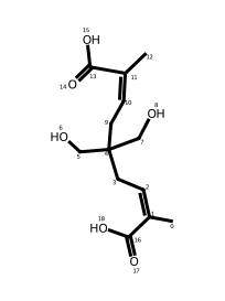 CC(=CCC(CO)(CO)CC=C(C)C(=O)O)C(=O)O